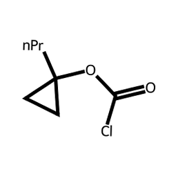 CCCC1(OC(=O)Cl)CC1